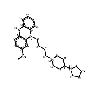 CSc1ccc2c(c1)N(CCCCN1CCC(N3CCCC3)CC1)c1ccccc1S2